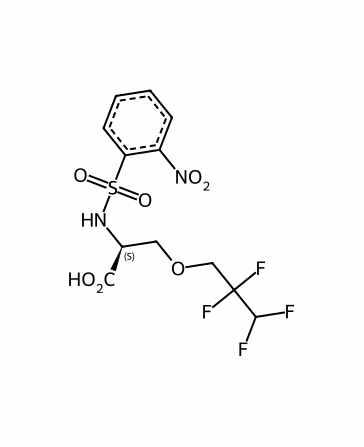 O=C(O)[C@H](COCC(F)(F)C(F)F)NS(=O)(=O)c1ccccc1[N+](=O)[O-]